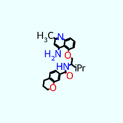 Cc1cc(N)c2c(OCC(NC(=O)c3ccc4c(c3)OCCC4)C(C)C)cccc2n1